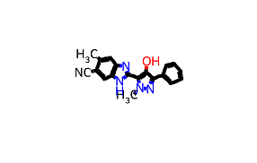 Cc1cc2nc(-c3c(O)c(-c4ccccc4)nn3C)[nH]c2cc1C#N